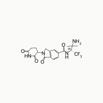 CC(C)(N)[C@@H](NC(=O)c1ccc2c(c1)CN(C1CCC(=O)NC1=O)C2=O)C(F)(F)F